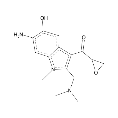 CN(C)Cc1c(C(=O)C2CO2)c2cc(O)c(N)cc2n1C